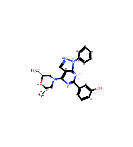 C[C@@H]1CN(c2nc(-c3cccc(O)c3)nc3c2cnn3-c2ccccc2)C[C@H](C)O1